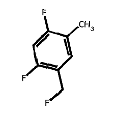 Cc1cc(CF)c(F)cc1F